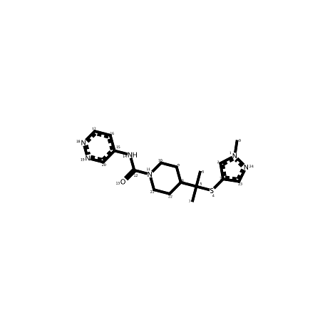 Cn1cc(SC(C)(C)C2CCN(C(=O)Nc3ccnnc3)CC2)cn1